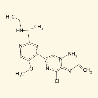 C=C/N=c1/c(Cl)nc(-c2cc([C@@H](C)NCC)ncc2OC)cn1N